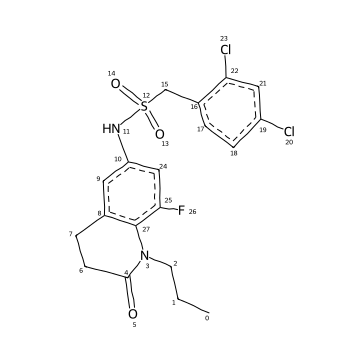 CCCN1C(=O)CCc2cc(NS(=O)(=O)Cc3ccc(Cl)cc3Cl)cc(F)c21